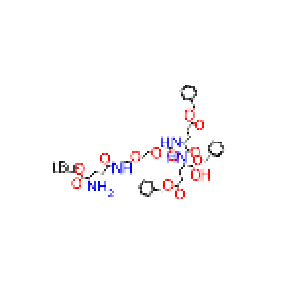 CC(C)(C)OC(=O)C(N)CCC(=O)NCCOCCOCC(=O)NC(CCC(=O)OCc1ccccc1)C(=O)NC(CCC(=O)OCc1ccccc1)C(O)OCc1ccccc1